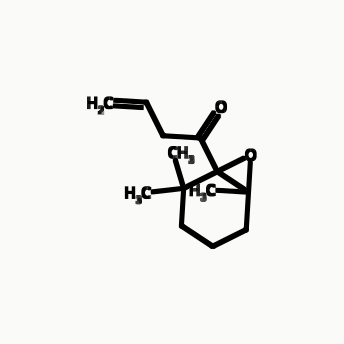 C=CCC(=O)C12OC1(C)CCCC2(C)C